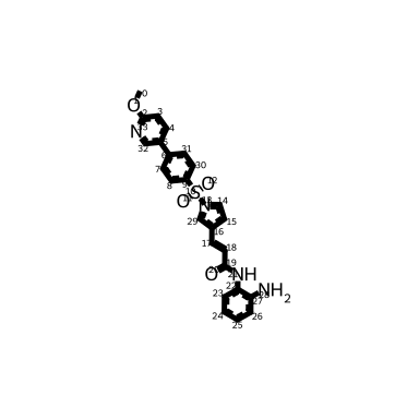 COc1ccc(-c2ccc(S(=O)(=O)n3ccc(/C=C/C(=O)Nc4ccccc4N)c3)cc2)cn1